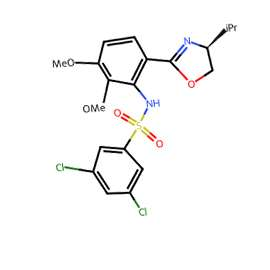 COc1ccc(C2=N[C@@H](C(C)C)CO2)c(NS(=O)(=O)c2cc(Cl)cc(Cl)c2)c1OC